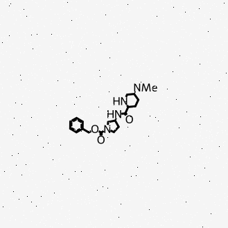 CN[C@@H]1CCC(C(=O)N[C@H]2CCN(C(=O)OCc3ccccc3)C2)NC1